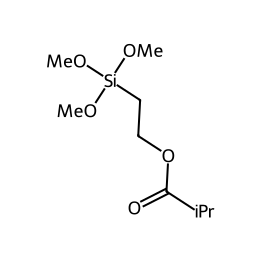 CO[Si](CCOC(=O)C(C)C)(OC)OC